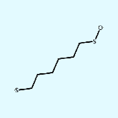 [O]SCCCCCC[S]